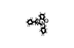 O=C1c2ccccc2N2CC(c3ccccc3)=NC2=CN1Cc1ccccc1